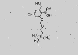 C[Si](C)(C)CCOCOc1cc(Cl)cc(CO)c1B(O)O